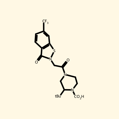 CC(C)(C)C1CN(C(=O)Cn2sc3cc(C(F)(F)F)ccc3c2=O)CCN1C(=O)O